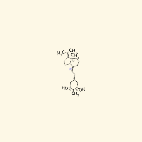 C=C1[C@H](O)CC(=C/C=C2\CCC[C@]3(C)C(=C(C)C)CCC23)C[C@H]1O